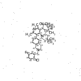 Cc1nc(C)c([C@H](OC(C)(C)C)C(=O)O)c(N2CCC(C)(C)CC2)c1-c1ccc2c(c1)CCN(Cc1cc(F)ccc1Cl)C2